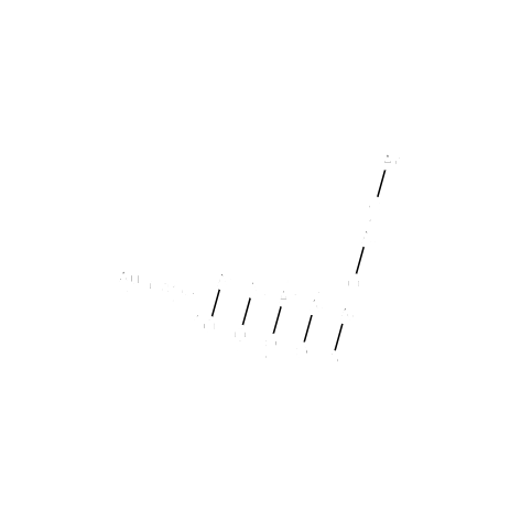 CC(=O)[O-].CC(=O)[O-].CC(=O)[O-].CC(=O)[O-].CC(=O)[O-].CC(=O)[O-].CC(=O)[O-].[Au+3].[Ca+2].[SH4+2]